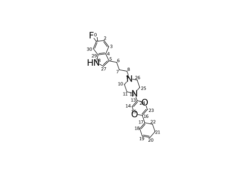 Fc1ccc2c(CCCN3CCN(C4=COC(C5=CC=CCC5)=CO4)CC3)c[nH]c2c1